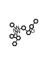 c1ccc(-c2ccc3c(c2)oc2cccc(-c4cccc(-c5nc(-c6ccccc6)nc(-n6c7ccccc7c7c(-c8ccccc8)cccc76)n5)c4)c23)cc1